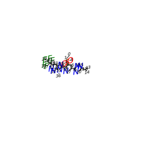 CCS(=O)(=O)c1cc(-c2ncc(C3CC3)nn2)cnc1-c1nc2cc(C(F)(F)C(F)(F)F)nnc2n1C